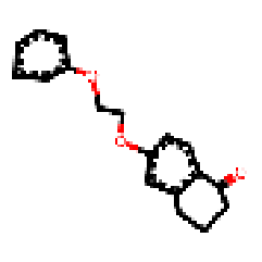 O=C1CCCc2cc(OCCOc3ccccc3)ccc21